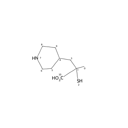 CC(S)(CC1CCNCC1)C(=O)O